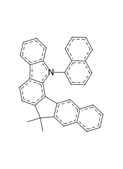 CC1(C)c2cc3ccccc3cc2-c2c1ccc1c3ccccc3n(-c3cccc4ccccc34)c21